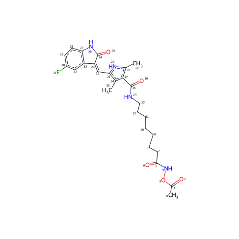 CC(=O)ONC(=O)CCCCCCCNC(=O)c1c(C)[nH]c(C=C2C(=O)Nc3ccc(F)cc32)c1C